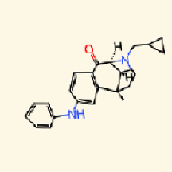 C[C@H]1[C@H]2C(=O)c3ccc(Nc4ccccc4)cc3[C@@]1(C)CCN2CC1CC1